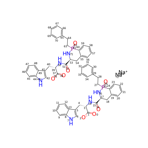 O=C([O-])[C@H](Cc1c[nH]c2ccccc12)NC(=O)[C@@H]1Cc2ccccc2P(=O)(CCc2ccccc2)N1.O=C([O-])[C@H](Cc1c[nH]c2ccccc12)NC(=O)[C@@H]1Cc2ccccc2P(=O)(CCc2ccccc2)N1.[Na+].[Na+]